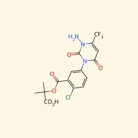 CC(C)(OC(=O)c1cc(-n2c(=O)cc(C(F)(F)F)n(N)c2=O)ccc1Cl)C(=O)O